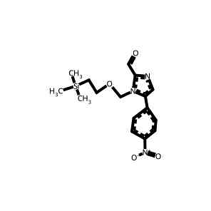 C[Si](C)(C)CCOCn1c(-c2ccc([N+](=O)[O-])cc2)cnc1C=O